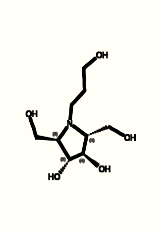 OCCCN1[C@H](CO)[C@@H](O)[C@H](O)[C@H]1CO